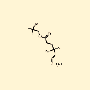 C[CH]CC(C)(C)COC(=O)CCC(CCC(=O)OCC)(C(C)=O)C(C)=O